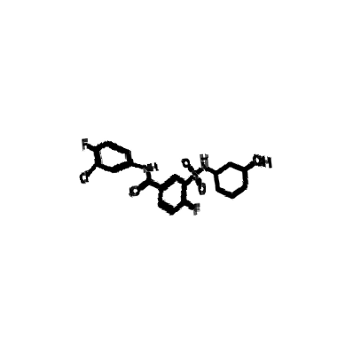 O=C(Nc1ccc(F)c(Cl)c1)c1ccc(F)c(S(=O)(=O)NC2CCCC(O)C2)c1